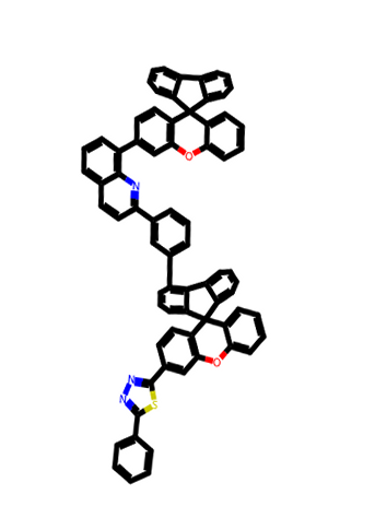 c1ccc(-c2nnc(-c3ccc4c(c3)Oc3ccccc3C43c4ccccc4-c4c(-c5cccc(-c6ccc7cccc(-c8ccc9c(c8)Oc8ccccc8C98c9ccccc9-c9ccccc98)c7n6)c5)cccc43)s2)cc1